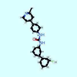 Cc1cc(-c2ccc(NC(=O)Nc3cccc(-c4cccc(F)c4)c3)cc2)ccn1